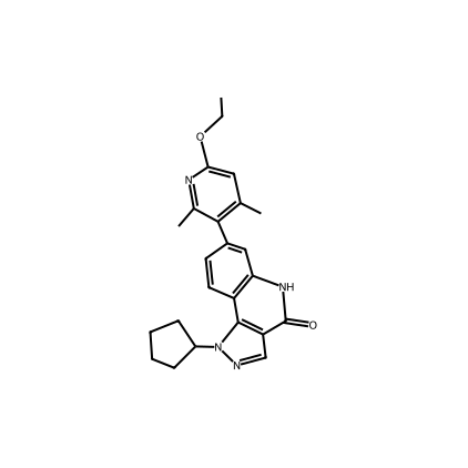 CCOc1cc(C)c(-c2ccc3c(c2)[nH]c(=O)c2cnn(C4CCCC4)c23)c(C)n1